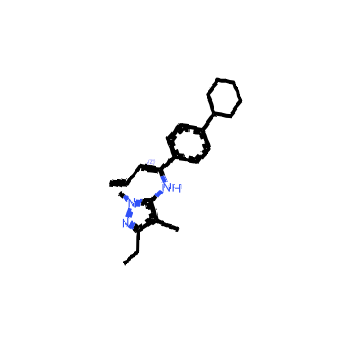 C=C/C=C(\Nc1c(C)c(CC)nn1C)c1ccc(C2CCCCC2)cc1